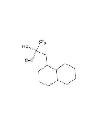 O=CC(O)(CC1CCCC2CCCCC21)C(F)(F)F